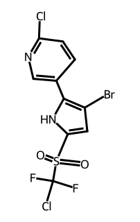 O=S(=O)(c1cc(Br)c(-c2ccc(Cl)nc2)[nH]1)C(F)(F)Cl